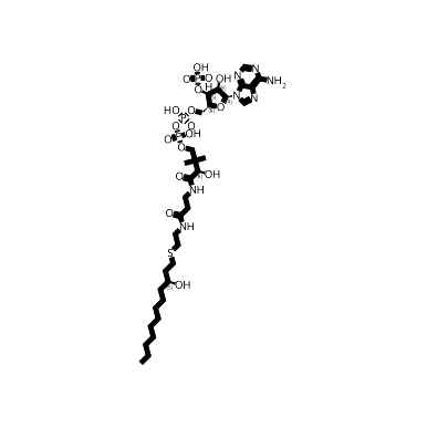 CCCCCCCCC[C@H](O)CCSCCNC(=O)CCNC(=O)[C@H](O)C(C)(C)COP(=O)(O)OP(=O)(O)OC[C@H]1O[C@@H](n2cnc3c(N)ncnc32)[C@H](O)[C@@H]1OP(=O)(O)O